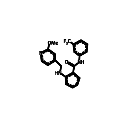 COc1cc(CNc2ccccc2C(=O)Nc2cccc(C(F)(F)F)c2)ccn1